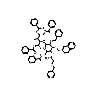 CC(C(OC1OC(COC(=O)c2ccccc2)C(O[C@@H](O)COCc2ccccc2)C(OCc2ccc3ccccc3c2)C1OCc1ccccc1)[C@@H](C)OC(=O)c1ccccc1)[C@@H](COC(=O)c1ccccc1)OC(=O)c1ccccc1